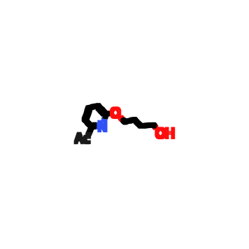 CC(=O)c1cccc(OCCCCO)n1